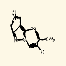 Cc1nc2c3c(nn2cc1Cl)CNC3